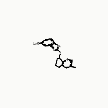 COc1ccc2[nH]c(SC3CCCc4cc(C)cnc43)nc2c1